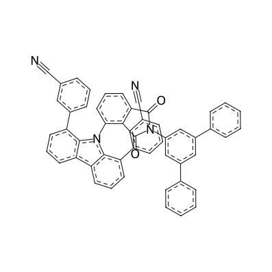 N#Cc1cccc(-c2cccc3c4cccc(-c5cccc(C#N)c5)c4n(-c4cccc5c4C(=O)N(c4cc(-c6ccccc6)cc(-c6ccccc6)c4)C5=O)c23)c1